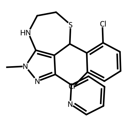 Cn1nc(-c2ccccn2)c2c1NCCSC2c1c(Cl)cccc1Cl